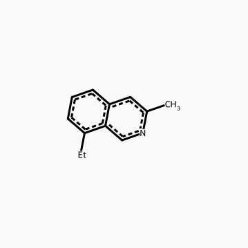 CCc1cccc2cc(C)ncc12